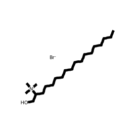 CCCCCCCCCCCCCCCCC(CO)[N+](C)(C)C.[Br-]